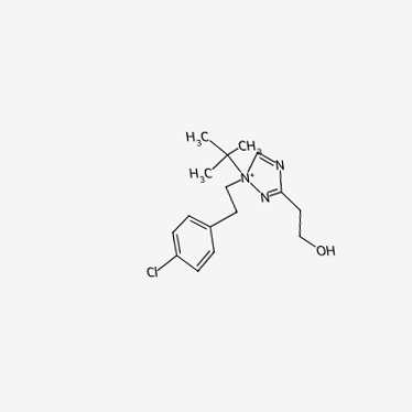 CC(C)(C)[N+]1(CCc2ccc(Cl)cc2)C=NC(CCO)=N1